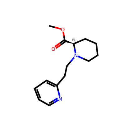 COC(=O)[C@H]1CCCCN1CCc1ccccn1